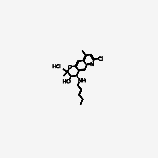 CCCCCN[C@H]1c2cc3nc(Cl)cc(C)c3cc2OC(C)(C)[C@@H]1O.Cl